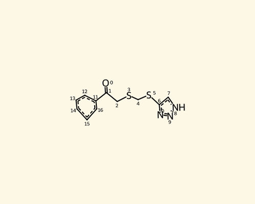 O=C(CSCSc1c[nH]nn1)c1ccccc1